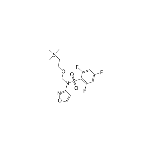 CS(C)(C)CCOCN(c1ccon1)S(=O)(=O)c1c(F)cc(F)cc1F